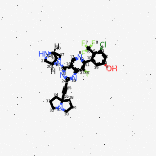 Oc1cc(Cl)c(C(F)(F)F)c(-c2ncc3c(N4C[C@@H]5C[C@H]4CN5)nc(C#CC45CCCN4CCC5)nc3c2F)c1